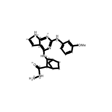 COc1cccc(Nc2nc(NC3C4CCC(C4)C3C(=O)NN)c3cc[nH]c3n2)c1